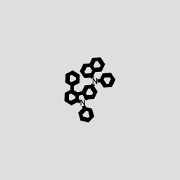 c1ccc(-c2cccc3c2c2cc(N(c4ccccc4)c4cccc5ccccc45)ccc2n3-c2ccccc2)cc1